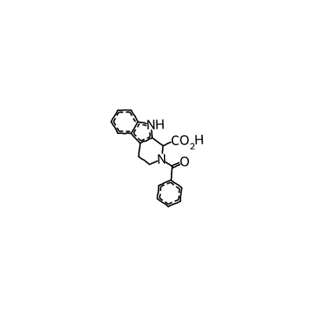 O=C(O)C1c2[nH]c3ccccc3c2CCN1C(=O)c1ccccc1